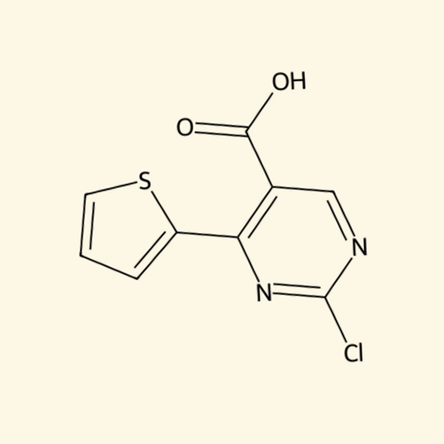 O=C(O)c1cnc(Cl)nc1-c1cccs1